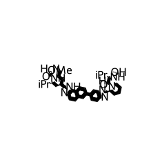 COC(=O)N[C@H](C[C@@H](CCCN)c1nc2ccc3cc(-c4ccc5nc([C@@H]6CCCCN6C(=O)[C@@H](NO)C(C)C)[nH]c5c4)ccc3c2[nH]1)C(C)C